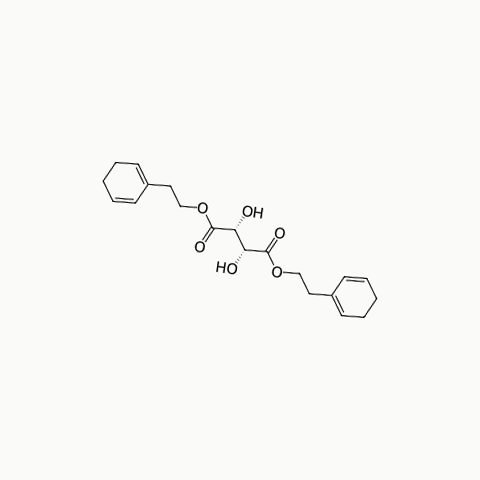 O=C(OCCC1=CCCC=C1)[C@H](O)[C@@H](O)C(=O)OCCC1=CCCC=C1